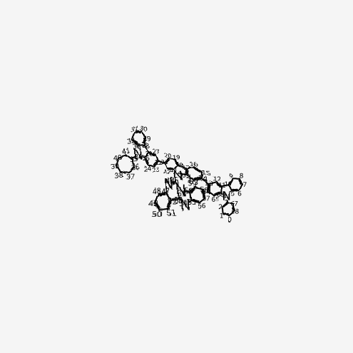 c1ccc(-n2c3ccccc3c3cc(-c4ccc5c6ccc(-c7ccc8c(c7)c7ccccc7n8C7CCCCCC7)cc6n(-c6nc7ccccc7c7nc8ccccc8n67)c5c4)ccc32)cc1